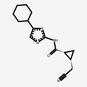 N#CC[C@H]1C[C@H]1C(=O)Nc1ncc(C2CCCCC2)s1